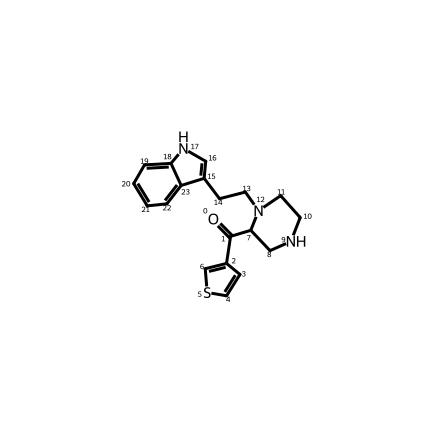 O=C(c1ccsc1)C1CNCCN1CCc1c[nH]c2ccccc12